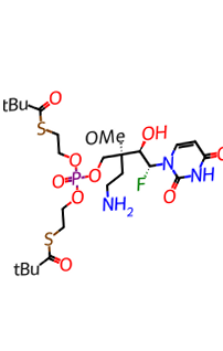 CO[C@](CCN)(COP(=O)(OCCSC(=O)C(C)(C)C)OCCSC(=O)C(C)(C)C)[C@@H](O)[C@@H](F)n1ccc(=O)[nH]c1=O